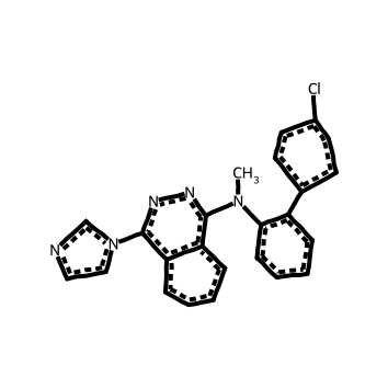 CN(c1ccccc1-c1ccc(Cl)cc1)c1nnc(-n2ccnc2)c2ccccc12